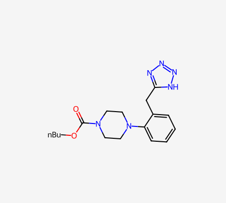 CCCCOC(=O)N1CCN(c2ccccc2Cc2nnn[nH]2)CC1